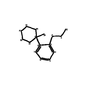 CCCc1ccccc1C1(C)CCCCC1